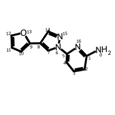 Nc1cccc(-n2cc(-c3ccco3)cn2)n1